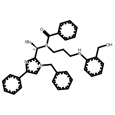 CC(C)(C)[C@H](c1nc(-c2ccccc2)cn1Cc1ccccc1)N(CCCNc1ccccc1CO)C(=O)c1ccccc1